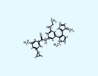 CCNc1cc(-c2c(-c3nncn3C)cnn2C)cc(NC(=O)c2cc(C)cc(C3CC3)n2)n1